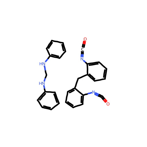 O=C=Nc1ccccc1Cc1ccccc1N=C=O.c1ccc(NCNc2ccccc2)cc1